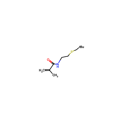 C=C(C)C(=O)NCCSCC(C)(C)C